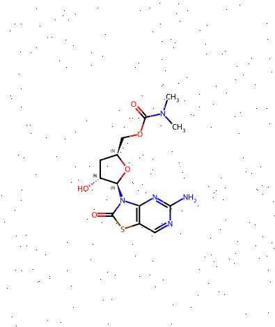 CN(C)C(=O)OC[C@@H]1C[C@@H](O)[C@H](n2c(=O)sc3cnc(N)nc32)O1